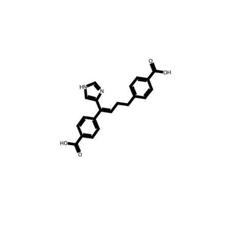 O=C(O)c1ccc(CCC=C(c2ccc(C(=O)O)cc2)c2c[nH]cn2)cc1